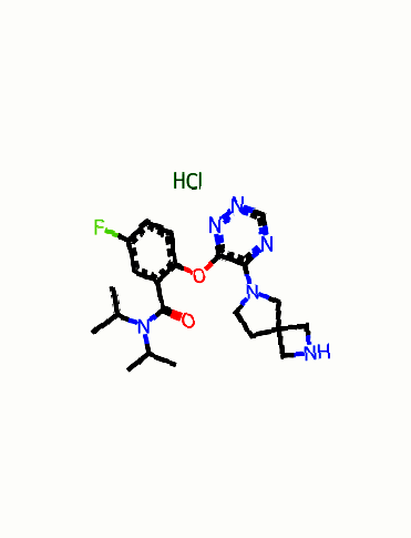 CC(C)N(C(=O)c1cc(F)ccc1Oc1nncnc1N1CCC2(CNC2)C1)C(C)C.Cl